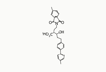 Cc1ccc(-c2ccc(CCC(O)C(CCN3C(=O)c4ccc(C)cc4C3=O)C(=O)O)cc2)cc1